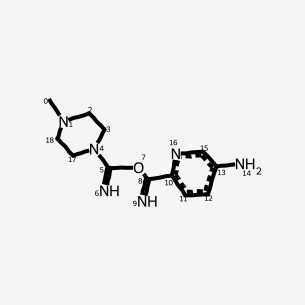 CN1CCN(C(=N)OC(=N)c2ccc(N)cn2)CC1